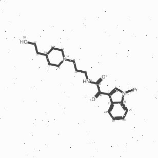 CC(C)n1cc(C(=O)C(=O)NCCCN2CCC(CCO)CC2)c2ccccc21